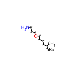 CCCCC(C)CCCCOCCCN